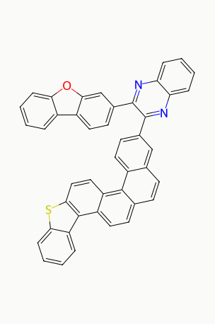 c1ccc2nc(-c3ccc4c(c3)oc3ccccc34)c(-c3ccc4c(ccc5ccc6c(ccc7sc8ccccc8c76)c54)c3)nc2c1